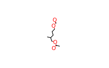 CC(=O)OCC(C)CCCOC=O